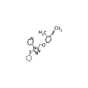 CC#Cc1ccc(OCc2nnc(SC3CCCC3)n2-c2cccnc2)cc1C